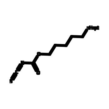 CCCCCCCCCCCCOC(=O)N=C=S